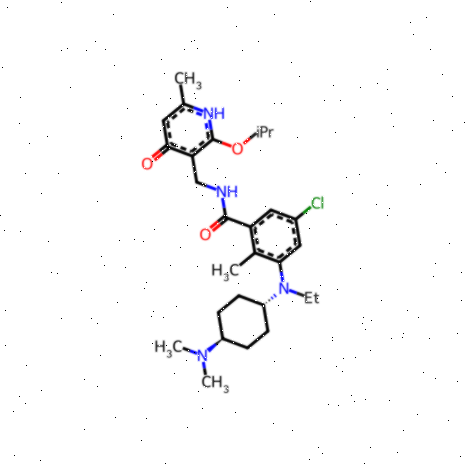 CCN(c1cc(Cl)cc(C(=O)NCc2c(OC(C)C)[nH]c(C)cc2=O)c1C)[C@H]1CC[C@H](N(C)C)CC1